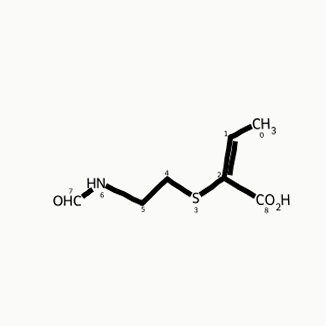 CC=C(SCCNC=O)C(=O)O